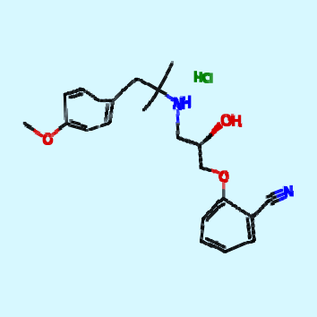 COc1ccc(CC(C)(C)NC[C@@H](O)COc2ccccc2C#N)cc1.Cl